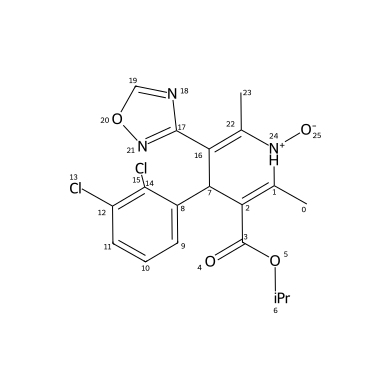 CC1=C(C(=O)OC(C)C)C(c2cccc(Cl)c2Cl)C(c2ncon2)=C(C)[NH+]1[O-]